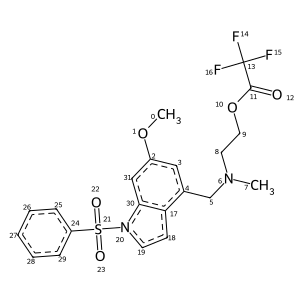 COc1cc(CN(C)CCOC(=O)C(F)(F)F)c2ccn(S(=O)(=O)c3ccccc3)c2c1